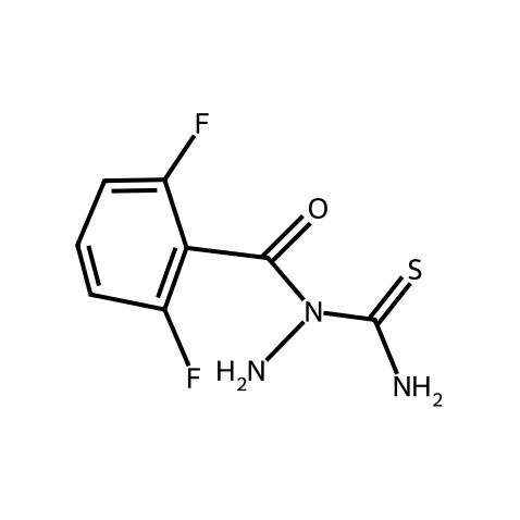 NC(=S)N(N)C(=O)c1c(F)cccc1F